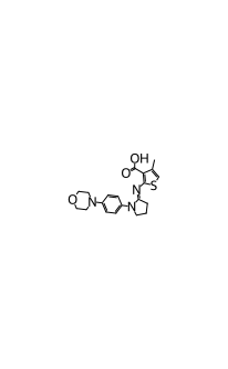 Cc1csc(N=C2CCCN2c2ccc(N3CCOCC3)cc2)c1C(=O)O